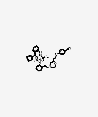 COC(=O)N[C@H](C(=O)Nc1ccccc1CCN1CCO[C@H](CCOc2ccc(C#N)cc2)C1)C(c1ccccc1)c1ccccc1